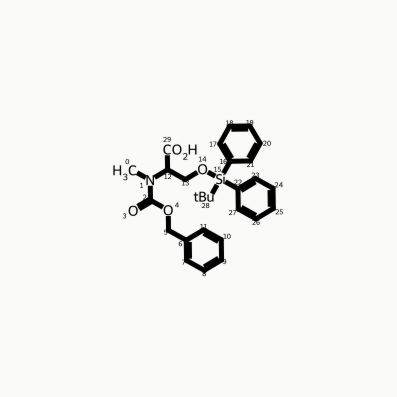 CN(C(=O)OCc1ccccc1)C(CO[Si](c1ccccc1)(c1ccccc1)C(C)(C)C)C(=O)O